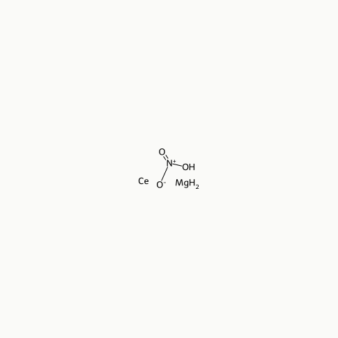 O=[N+]([O-])O.[Ce].[MgH2]